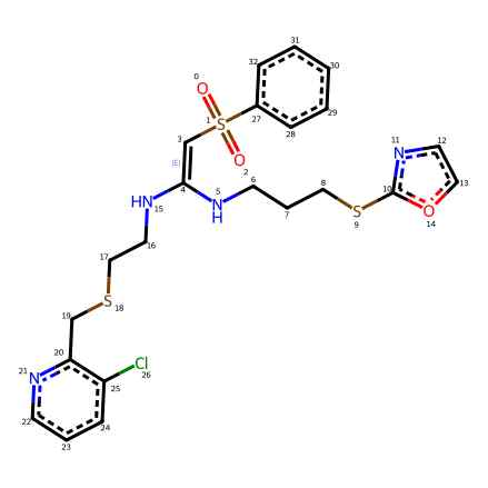 O=S(=O)(/C=C(\NCCCSc1ncco1)NCCSCc1ncccc1Cl)c1ccccc1